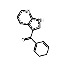 O=C(C1=CCCC=C1)c1c[nH]c2ncccc12